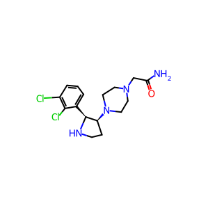 NC(=O)CN1CCN([C@H]2CCN[C@H]2c2cccc(Cl)c2Cl)CC1